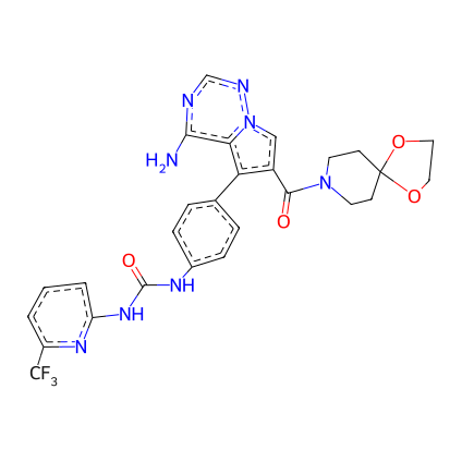 Nc1ncnn2cc(C(=O)N3CCC4(CC3)OCCO4)c(-c3ccc(NC(=O)Nc4cccc(C(F)(F)F)n4)cc3)c12